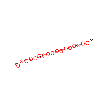 CC(C)(C)CCOCCOCCOCCOCCOCCOCCOCCOCCOCCOCCOCCOCCOCCOCCOCCOCCC(=O)C(C)(C)C